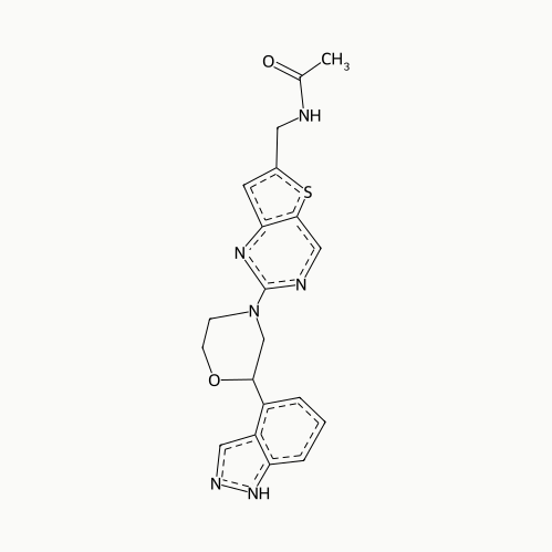 CC(=O)NCc1cc2nc(N3CCOC(c4cccc5[nH]ncc45)C3)ncc2s1